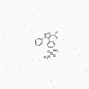 FC(F)c1onc(-c2ccccc2)c1-c1ccccc1.NS(N)(=O)=O